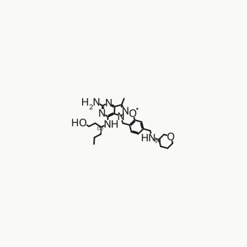 CCC[C@@H](CCO)Nc1nc(N)nc2c(C)nn(Cc3ccc(CN[C@@H]4CCCOC4)cc3OC)c12